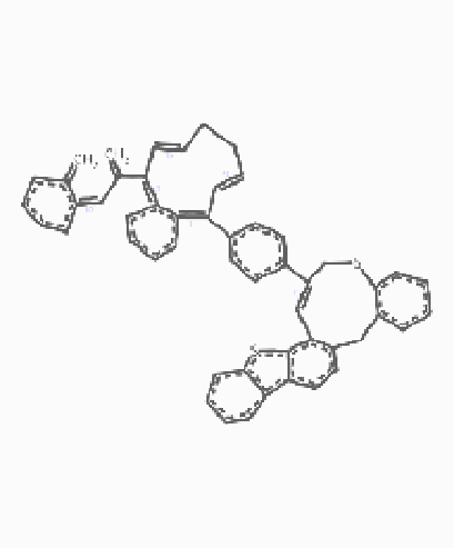 C=C(/C=c1/ccccc1=C)C1=c2\cccc\c2=C(c2ccc(/C3=C/c4c(ccc5c4sc4ccccc45)Cc4ccccc4SC3)cc2)\C=C\CC\C=C\1